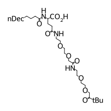 CCCCCCCCCCCCCC(=O)NC(CCC(=O)NCCOCCOCC(=O)NCCOCCOCC(=O)C(C)(C)C)C(=O)O